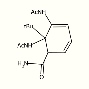 CC(=O)NC1=CC=CC(C(N)=O)C1(NC(C)=O)C(C)(C)C